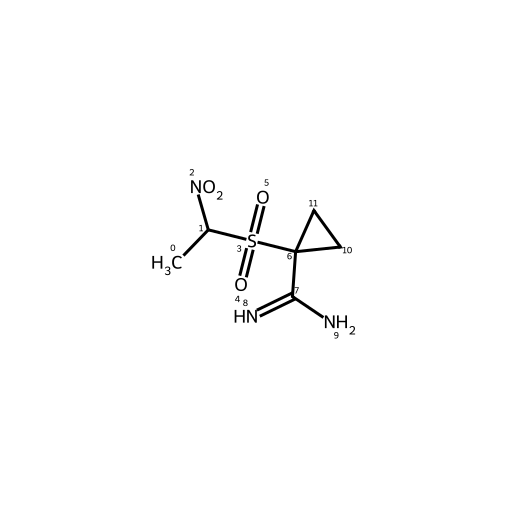 CC([N+](=O)[O-])S(=O)(=O)C1(C(=N)N)CC1